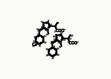 CC(C(=O)[O-])c1csc(=Nc2ccccc2)n1C.CC(C(=O)[O-])c1csc(=Nc2ccccc2)n1C.[Ca+2]